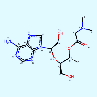 C[C@@H](OC(=O)CN(C)C)[C@@H](CO)O[C@H](CO)n1cnc2c(N)ncnc21